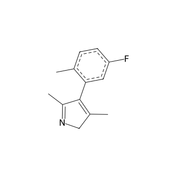 CC1=NCC(C)=C1c1cc(F)ccc1C